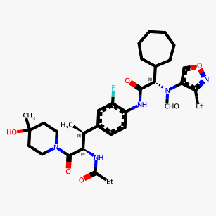 CCC(=O)N[C@@H](C(=O)N1CCC(C)(O)CC1)[C@@H](C)c1ccc(NC(=O)[C@H](C2CCCCCC2)N(C=O)c2conc2CC)c(F)c1